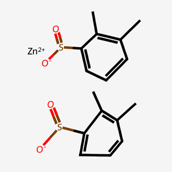 Cc1cccc(S(=O)[O-])c1C.Cc1cccc(S(=O)[O-])c1C.[Zn+2]